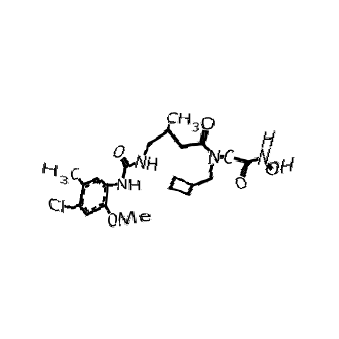 COc1cc(Cl)c(C)cc1NC(=O)NCC(C)CC(=O)N(CC(=O)NO)CC1CCC1